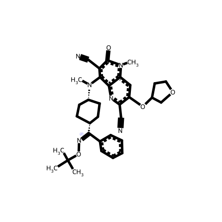 Cn1c(=O)c(C#N)c(N(C)[C@H]2CC[C@@H](/C(=N/OC(C)(C)C)c3ccccc3)CC2)c2nc(C#N)c(OC3CCOC3)cc21